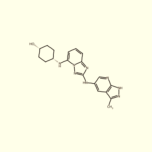 Cc1n[nH]c2ncc(Nc3nc4cccc(N[C@H]5CC[C@@H](O)CC5)n4n3)cc12